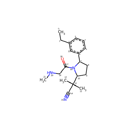 CCc1cccc(C2CCC(C(C)(C)C#N)N2C(=O)CNC)c1